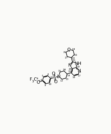 O=S(=O)(c1ccc(OC(F)(F)F)cc1)N1CCC(c2ccnc3[nH]c(C4CCOCC4)nc23)CC1